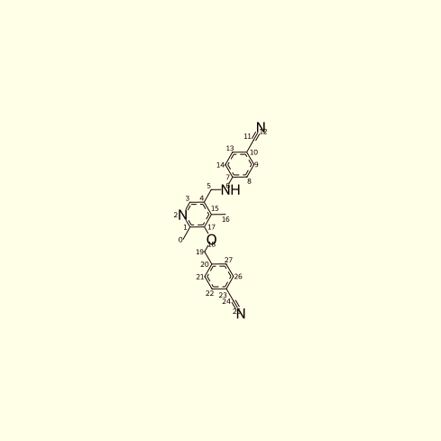 Cc1ncc(CNc2ccc(C#N)cc2)c(C)c1OCc1ccc(C#N)cc1